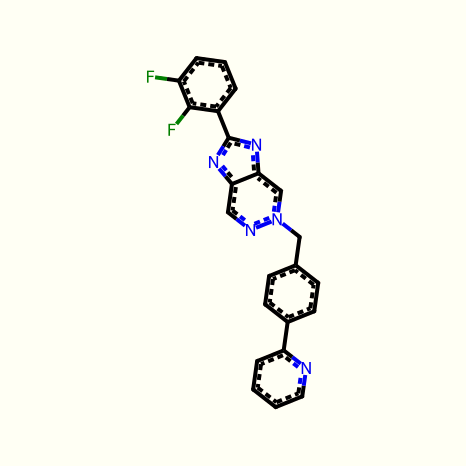 Fc1cccc(-c2nc3cnn(Cc4ccc(-c5ccccn5)cc4)cc-3n2)c1F